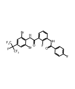 O=C(Nc1cccc(C(=O)Nc2c(Br)cc(C(F)(C(F)(F)F)C(F)(F)F)cc2Br)c1F)c1ccc(F)cc1